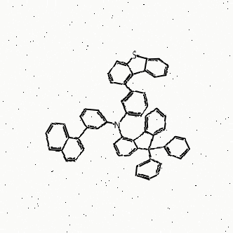 c1ccc(C2(c3ccccc3)c3ccccc3-c3c(N(c4cccc(-c5cccc6ccccc56)c4)c4cccc(-c5cccc6sc7ccccc7c56)c4)cccc32)cc1